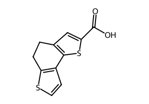 O=C(O)c1cc2c(s1)-c1ccsc1CC2